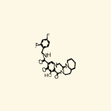 O=C(NCc1ccc(F)cc1F)c1cn2c(c(O)c1=O)C(=O)N1CCC3CCCCN3C1C2